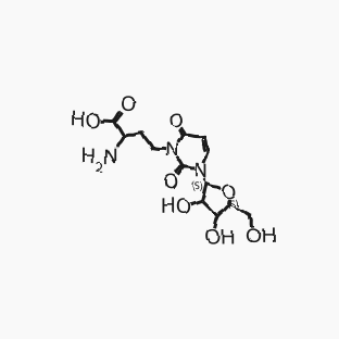 NC(CCn1c(=O)ccn([C@H]2O[C@@H](CO)C(O)C2O)c1=O)C(=O)O